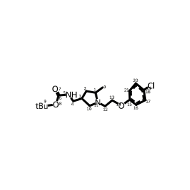 CC1CC(CNC(=O)OC(C)(C)C)CN1CCOc1ccc(Cl)cc1